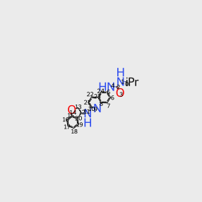 CC(C)NC(=O)Nc1ccc2nc(NC3COc4ccccc43)ccc2c1